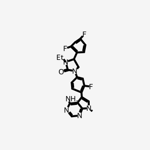 CCN1C(=O)N(c2ccc(-c3cn(C)c4ncnc(N)c34)c(F)c2)CC1c1ccc(F)cc1F